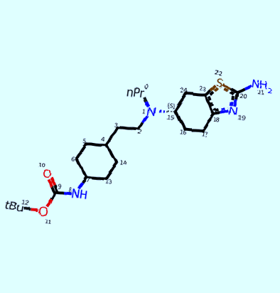 CCCN(CCC1CCC(NC(=O)OC(C)(C)C)CC1)[C@H]1CCc2nc(N)sc2C1